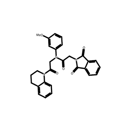 COc1cccc(N(CC(=O)N2CCCc3ccccc32)C(=O)CN2C(=O)c3ccccc3C2=O)c1